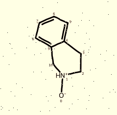 [O-][NH+]1CCc2cc[c]cc2C1